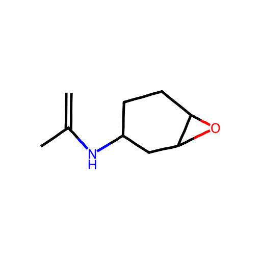 C=C(C)NC1CCC2OC2C1